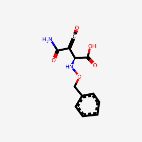 NC(=O)C(=C=O)[C@H](NOCc1ccccc1)C(=O)O